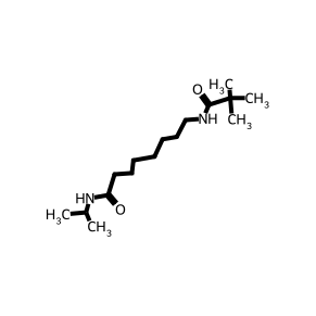 CC(C)NC(=O)CCCCCCCNC(=O)C(C)(C)C